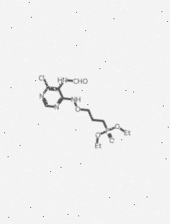 CCOP(=O)(CCCONc1ncnc(Cl)c1NC=O)OCC